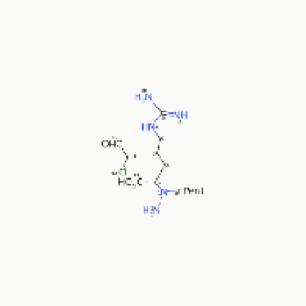 CCCCCN(N)[C@@H](CCCNC(=N)N)C(=O)O.O=CCCl